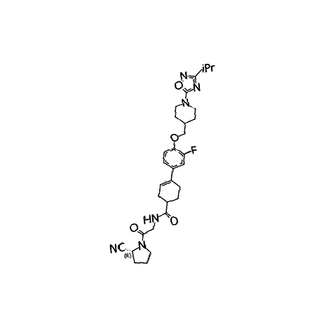 CC(C)c1noc(N2CCC(COc3ccc(C4=CCC(C(=O)NCC(=O)N5CCC[C@@H]5C#N)CC4)cc3F)CC2)n1